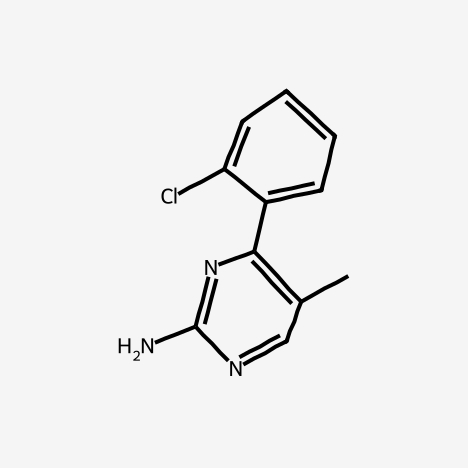 Cc1cnc(N)nc1-c1ccccc1Cl